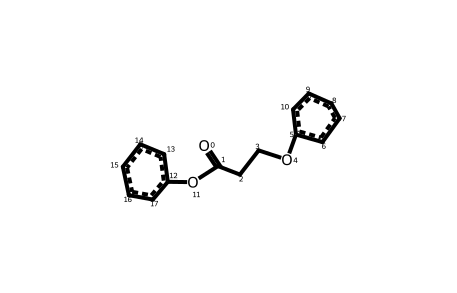 O=C(CCOc1ccccc1)Oc1ccccc1